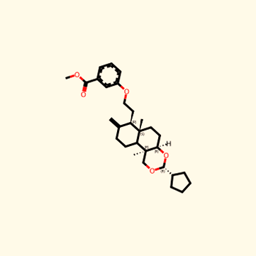 C=C1CCC2[C@]3(C)CO[C@@H](C4CCCC4)O[C@@H]3CC[C@@]2(C)[C@@H]1CCOc1cccc(C(=O)OC)c1